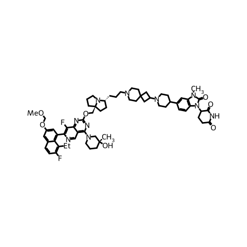 CCc1c(F)ccc2cc(OCOC)cc(-c3ncc4c(N5CCC[C@@](C)(O)C5)nc(OC[C@@]56CCCN5[C@H](CCCN5CCC7(CC5)CC(N5CCC(c8ccc9c(c8)n(C)c(=O)n9C8CCC(=O)NC8=O)CC5)C7)CC6)nc4c3F)c12